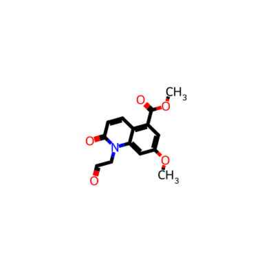 COC(=O)c1cc(OC)cc2c1ccc(=O)n2CC=O